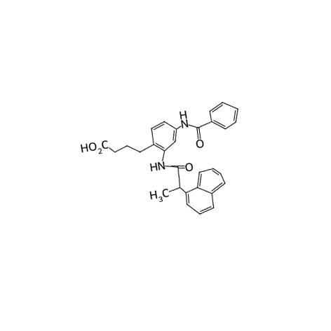 CC(C(=O)Nc1cc(NC(=O)c2ccccc2)ccc1CCCC(=O)O)c1cccc2ccccc12